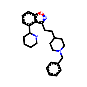 c1ccc(CN2CCC(CCc3noc4cccc(C5CCCCN5)c34)CC2)cc1